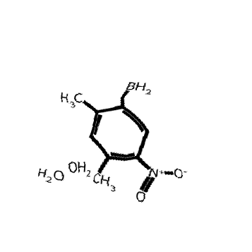 Bc1cc([N+](=O)[O-])c(C)cc1C.O.O